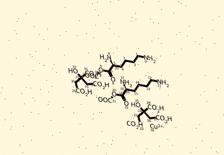 NCCCC[C@H](N)C(=O)OC(=O)[O-].NCCCC[C@H](N)C(=O)OC(=O)[O-].O=C(O)CC(O)(CC(=O)O)C(=O)O.O=C(O)CC(O)(CC(=O)O)C(=O)O.[Cu+2]